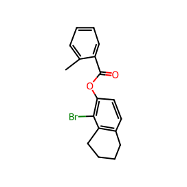 Cc1ccccc1C(=O)Oc1ccc2c(c1Br)CCCC2